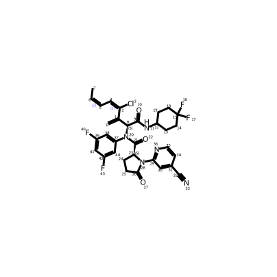 C=C(/C(Cl)=C\C=C/C)[C@@H](C(=O)NC1CCC(F)(F)CC1)N(C(=O)[C@@H]1CCC(=O)N1c1cc(C#N)ccn1)c1cc(F)cc(F)c1